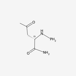 CC(=O)C[C@H](NP)C(N)=O